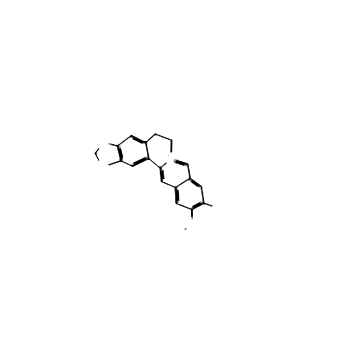 COc1cc2cc3[n+](cc2cc1C)CCc1cc2c(cc1-3)OCO2